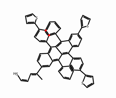 C/C(=C\C=C/S)c1ccc2c(-c3ccc(-c4cccs4)cc3)c3c(-c4ccccc4)c4cc(-c5cccs5)ccc4c(-c4ccc(-c5cccs5)cc4)c3c(-c3ccccc3)c2c1